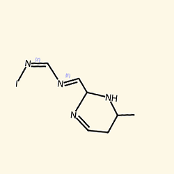 CC1CC=NC(/C=N/C=N\I)N1